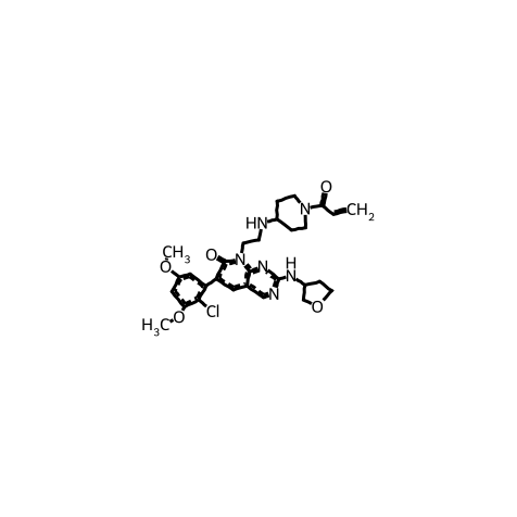 C=CC(=O)N1CCC(NCCn2c(=O)c(-c3cc(OC)cc(OC)c3Cl)cc3cnc(NC4CCOC4)nc32)CC1